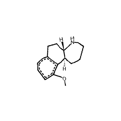 COc1cccc2c1[C@@H]1CCCN[C@H]1CC2